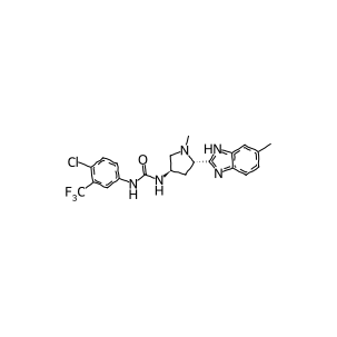 Cc1ccc2nc([C@@H]3C[C@@H](NC(=O)Nc4ccc(Cl)c(C(F)(F)F)c4)CN3C)[nH]c2c1